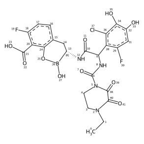 CCN1CCN(C(=O)NC(C(=O)N[C@H]2Cc3ccc(F)c(C(=O)O)c3OB2O)c2c(F)cc(O)c(O)c2Cl)C(=O)C1=O